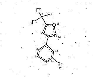 FC(F)(F)c1cc(-c2cccc(Br)c2)no1